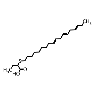 CCC=CCC=CCC=CCCCCCCCCSC(CC)C(=O)O